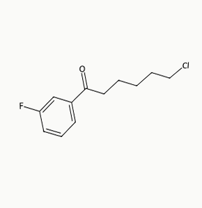 O=C(CCCCCCl)c1cccc(F)c1